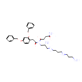 NCCCNCCCCNCCCN(C(=O)Cc1ccc(OCc2ccccc2)cc1OCc1ccccc1)C(=O)[C@@H](N)CC(N)=O